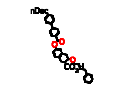 CCCCCCCCCCc1ccc(-c2ccc(C(=O)Oc3ccc4c(c3)CC(OCCCCc3ccccc3)C(C(=O)O)C4)cc2)cc1